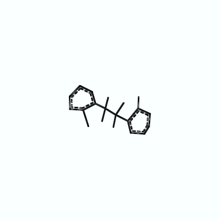 Cc1ccccc1C(C)(C)C(C)(C)c1ccccc1C